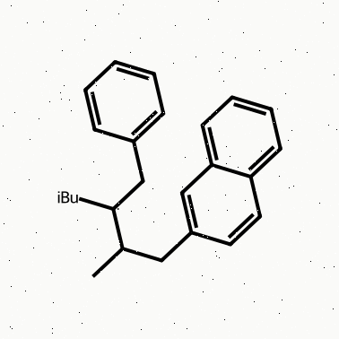 CCC(C)[C](Cc1ccccc1)C(C)Cc1ccc2ccccc2c1